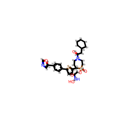 O=C(C[C@]1(c2ccc(-c3ccc(-c4cnco4)cc3)s2)CCN(C(=O)CC2CCCCC2)CCS1(=O)=O)NO